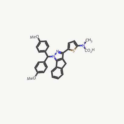 COc1ccc(C(c2ccc(OC)cc2)n2nc(-c3ccc(N(C)C(=O)O)s3)c3c2-c2ccccc2C3)cc1